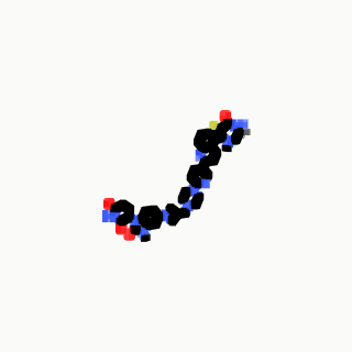 C[C@@H]1CN(C)c2c(sc3ccc4nc(-c5ccc(N6CCN(CC7CN(c8ccc9c(c8)n(C)c(=O)n9C8CCC(=O)NC8=O)C7)CC6)nc5)ccc4c23)C(=O)N1